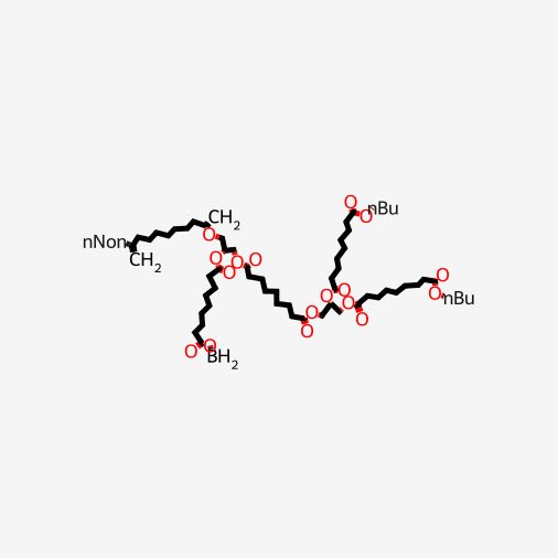 BOC(=O)CCCCCCCC(=O)OC(COC(=C)CCCCCCCC(=C)CCCCCCCCC)COC(=O)CCCCCCCC(=O)OCC(COC(=O)CCCCCCCC(=O)OCCCC)OC(=O)CCCCCCCC(=O)OCCCC